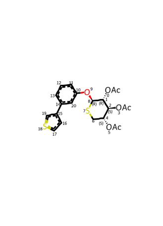 CC(=O)O[C@@H]1[C@@H](OC(C)=O)[C@H](OC(C)=O)CS[C@H]1Oc1cccc(-c2ccsc2)c1